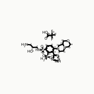 NC[C@@H](O)CNS(=O)(=O)c1ccc(N2CCN3CCOCC3C2)c(-c2nn[nH]n2)c1S(N)(=O)=O.O=C(O)C(F)(F)F